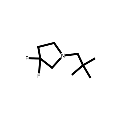 CC(C)(C)CN1CCC(F)(F)C1